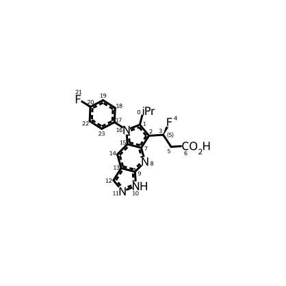 CC(C)c1c([C@@H](F)CC(=O)O)c2nc3[nH]ncc3cc2n1-c1ccc(F)cc1